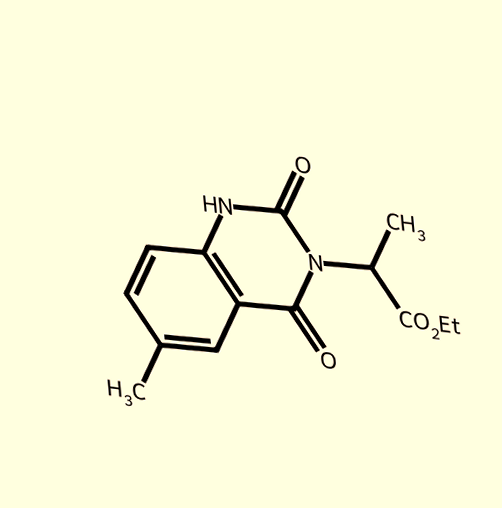 CCOC(=O)C(C)n1c(=O)[nH]c2ccc(C)cc2c1=O